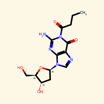 CCCC(=O)n1c(N)nc2c(ncn2[C@H]2C[C@H](O)[C@@H](CO)O2)c1=O